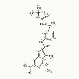 COc1cc(C(=O)O)cc2nc(-c3cc4ccc(C(C)NC(=O)OC(C)(C)C)nc4[nH]3)c(C)n12